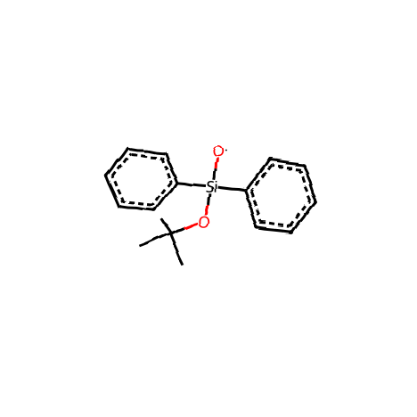 CC(C)(C)O[Si]([O])(c1ccccc1)c1ccccc1